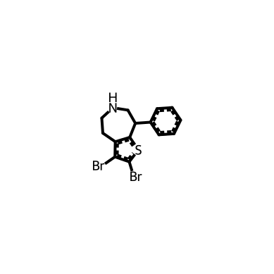 Brc1sc2c(c1Br)CCNCC2c1ccccc1